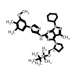 COc1cc(-n2cnc(Nc3nc(N4CCC[C@H]4CO[Si](C)(C)C(C)(C)C)c4c(C)nn(C5CCCCC5)c4n3)c2)cc(C)c1C